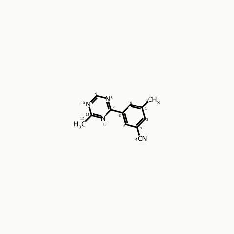 Cc1cc(C#N)cc(-c2ncnc(C)n2)c1